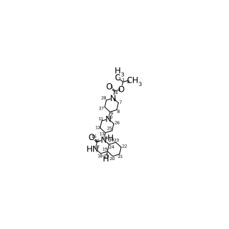 CC(C)OC(=O)N1CCC(N2CCC(N3C(=O)NC[C@H]4CCCC[C@@H]43)CC2)CC1